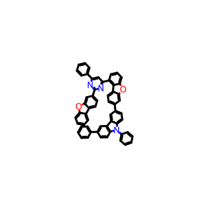 c1ccc(-c2ccc3c(c2)c2cc(-c4ccc5c(c4)oc4cccc(-c6cc(-c7ccccc7)nc(-c7ccc8c(c7)oc7ccccc78)n6)c45)ccc2n3-c2ccccc2)cc1